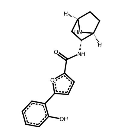 O=C(N[C@@H]1C[C@H]2CC[C@@H]1N2)c1ccc(-c2ccccc2O)o1